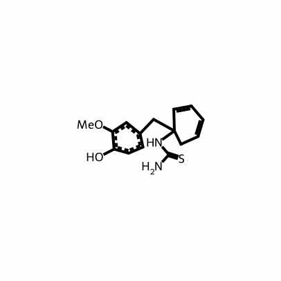 COc1cc(CC2(NC(N)=S)C=CC=CC2)ccc1O